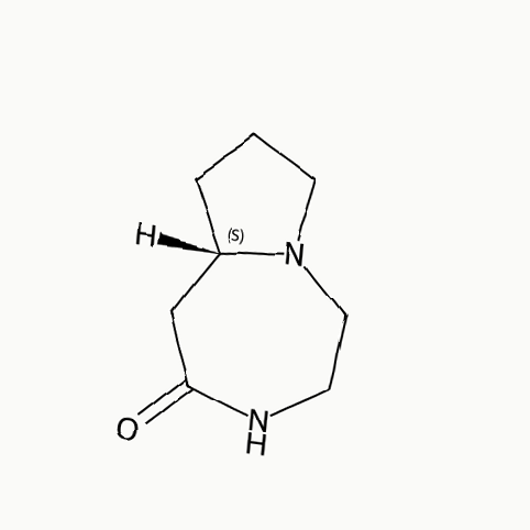 O=C1C[C@@H]2CCCN2CCN1